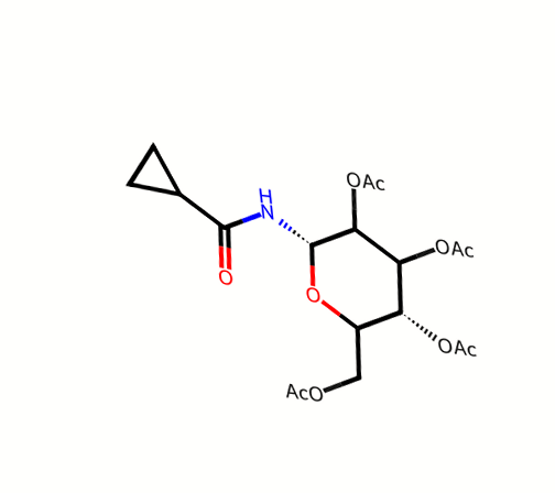 CC(=O)OCC1O[C@H](NC(=O)C2CC2)C(OC(C)=O)C(OC(C)=O)[C@@H]1OC(C)=O